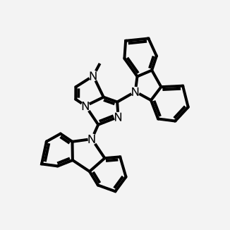 Cn1ccn2c(-n3c4ccccc4c4ccccc43)nc(-n3c4ccccc4c4ccccc43)c12